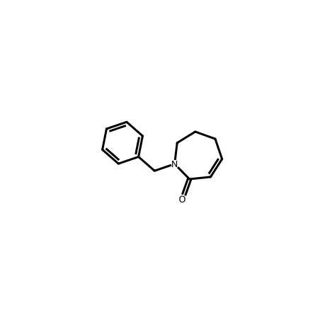 O=C1C=CCCCN1Cc1ccccc1